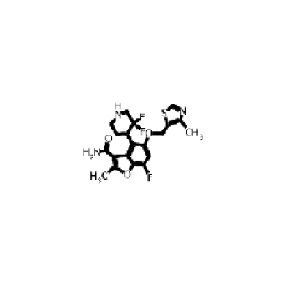 Cc1ncsc1COc1cc(F)c2oc(C)c(C(N)=O)c2c1C1CCNCC1(F)F